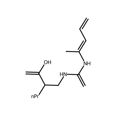 C=C/C=C(\C)NC(=C)NCC(CCC)C(=C)O